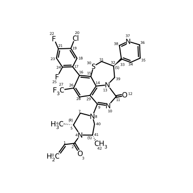 C=CC(=O)N1[C@H](C)CN(c2nc(=O)n3c4c(c(-c5cc(Cl)c(F)cc5F)c(C(F)(F)F)cc24)SC[C@@H](c2cccnc2)C3)C[C@@H]1C